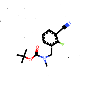 CN(Cc1cccc(C#N)c1F)C(=O)OC(C)(C)C